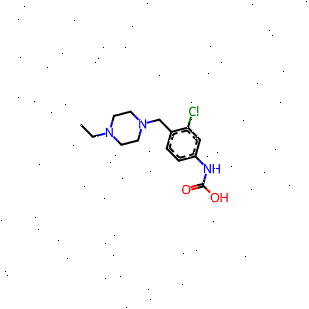 CCN1CCN(Cc2ccc(NC(=O)O)cc2Cl)CC1